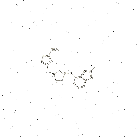 CC(=O)Nc1ncc(CN2C[C@H](Oc3cccc4nn(C)cc34)C[C@@H]2C)s1